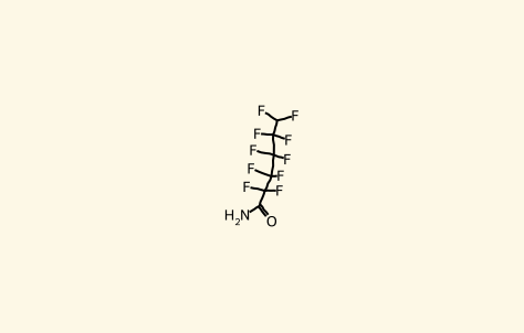 NC(=O)C(F)(F)C(F)(F)C(F)(F)C(F)(F)C(F)F